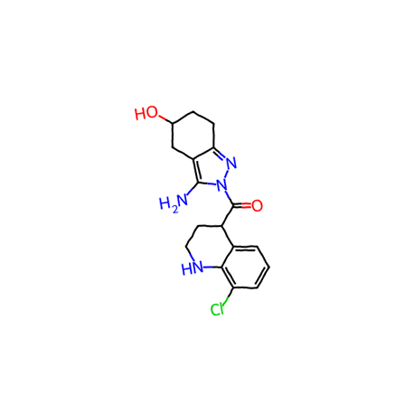 Nc1c2c(nn1C(=O)C1CCNc3c(Cl)cccc31)CCC(O)C2